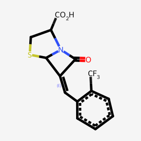 O=C(O)C1CSC2/C(=C/c3ccccc3C(F)(F)F)C(=O)N12